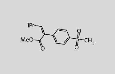 COC(=O)C(=CC(C)C)c1ccc(S(C)(=O)=O)cc1